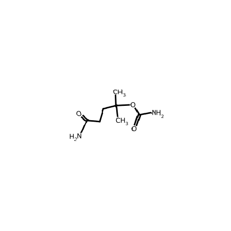 CC(C)(CCC(N)=O)OC(N)=O